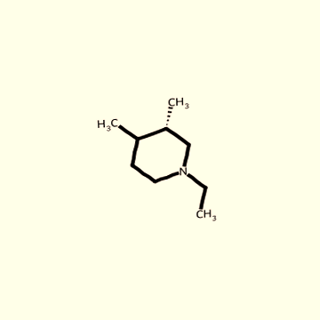 CCN1CCC(C)[C@H](C)C1